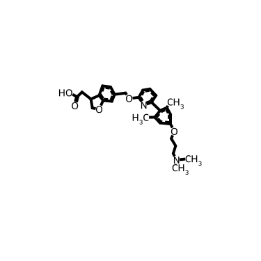 Cc1cc(OCCCN(C)C)cc(C)c1-c1cccc(OCc2ccc3c(c2)OCC3CC(=O)O)n1